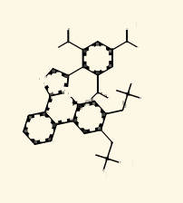 CC(C)c1cc(C(C)C)c(-c2cnc3c4ccccc4c4cc(CC(C)(C)C)c(CC(C)(C)C)cc4n23)c(C(C)C)c1